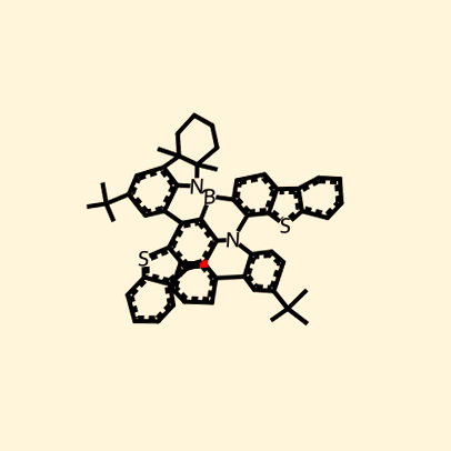 CC(C)(C)c1ccc(N2c3cc4c(sc5ccccc54)c4c3B(c3ccc5c(sc6ccccc65)c32)N2c3c-4cc(C(C)(C)C)cc3C3(C)CCCCC23C)c(-c2ccccc2)c1